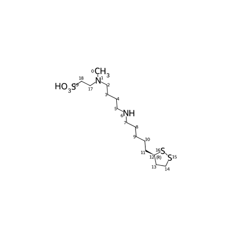 CN(CCCCNCCCCC[C@@H]1CCSS1)CCS(=O)(=O)O